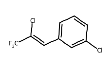 FC(F)(F)C(Cl)=Cc1cccc(Cl)c1